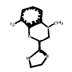 CN1CC(C2=NCCN2)Oc2c1cccc2C(F)(F)F